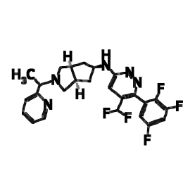 CC(c1ccccn1)N1C[C@H]2C[C@@H](Nc3cc(C(F)F)c(-c4cc(F)cc(F)c4F)nn3)C[C@H]2C1